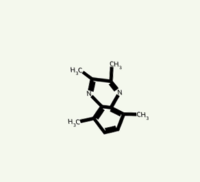 Cc1nc2c(C)ccc(C)c2nc1C